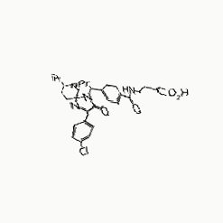 CCCC(c1ccc(C(=O)NCCC(=O)O)cc1)N1C(=O)C(c2ccc(Cl)cc2)=NC12CCC(C(C)C)CC2